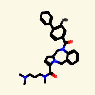 COc1cc(C(=O)N2Cc3ccc(C(=O)N(C)CCCN(C)C)n3Cc3ccccc32)ccc1-c1ccccc1